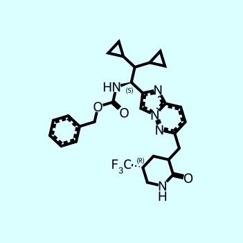 O=C(N[C@H](c1cn2nc(CC3C[C@@H](C(F)(F)F)CNC3=O)ccc2n1)C(C1CC1)C1CC1)OCc1ccccc1